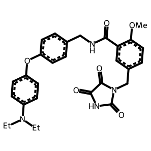 CCN(CC)c1ccc(Oc2ccc(CNC(=O)c3cc(CN4C(=O)NC(=O)C4=O)ccc3OC)cc2)cc1